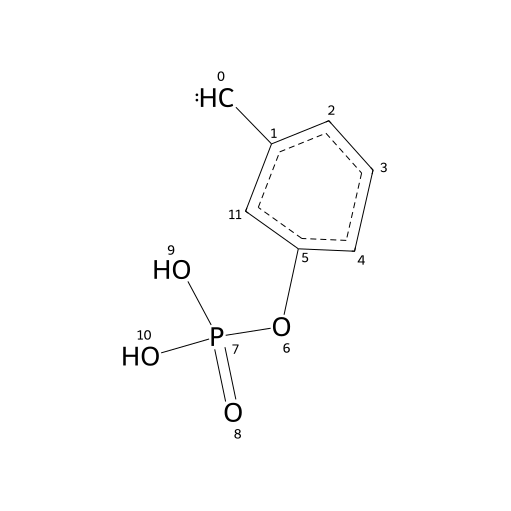 [CH]c1cccc(OP(=O)(O)O)c1